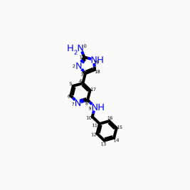 Nc1nc(-c2ccnc(NCc3ccccc3)c2)c[nH]1